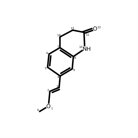 COC=Cc1ccc2c(c1)NC(=O)CC2